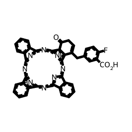 O=C(O)c1cc(CC2=CCC(=O)c3c2c2nc4nc(nc5[nH]c(nc6nc(nc3[nH]2)-c2ccccc2-6)c2ccccc52)-c2ccccc2-4)ccc1F